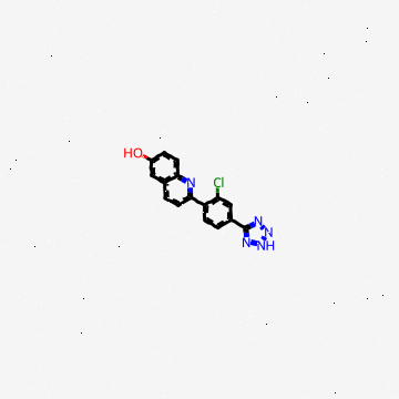 Oc1ccc2nc(-c3ccc(-c4nn[nH]n4)cc3Cl)ccc2c1